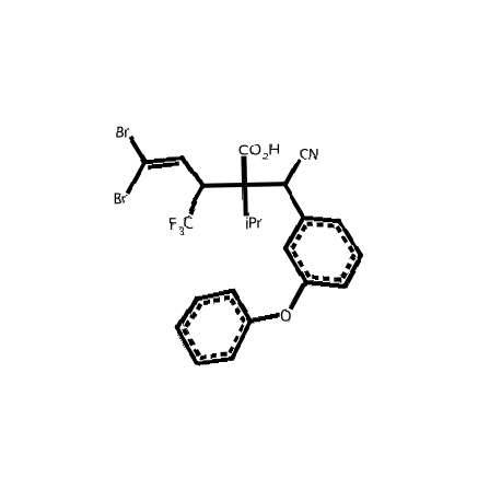 CC(C)C(C(=O)O)(C(C#N)c1cccc(Oc2ccccc2)c1)C(C=C(Br)Br)C(F)(F)F